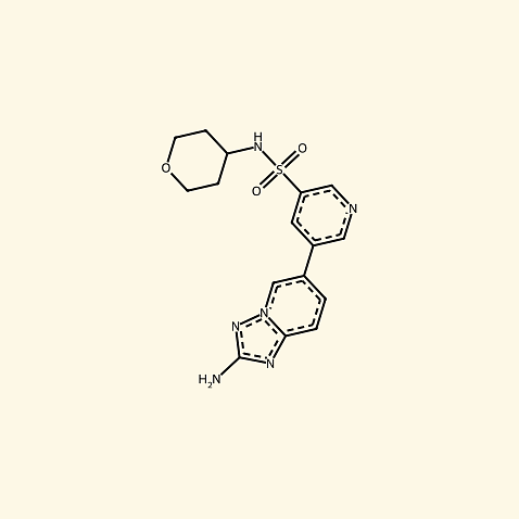 Nc1nc2ccc(-c3cncc(S(=O)(=O)NC4CCOCC4)c3)cn2n1